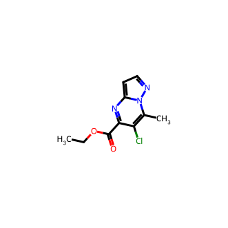 CCOC(=O)c1nc2ccnn2c(C)c1Cl